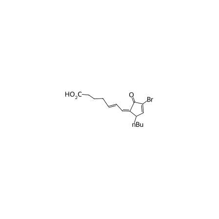 CCCCC1C=C(Br)C(=O)C1=CC=CCCCC(=O)O